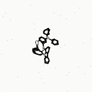 c1ccc(N(c2ccccc2)c2ccc3c(c2)B2c4c(cccc4-n4c5ccccc5c5cccc2c54)O3)cc1